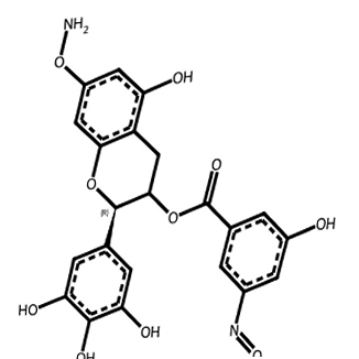 NOc1cc(O)c2c(c1)O[C@H](c1cc(O)c(O)c(O)c1)C(OC(=O)c1cc(O)cc(N=O)c1)C2